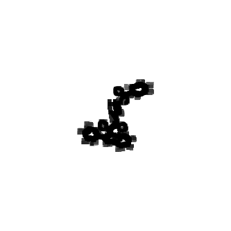 O=C(NCCOC(=O)c1ccccc1)C(=O)c1c(-c2ccccc2)cc2ccccn12